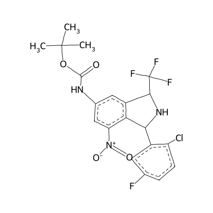 CC(C)(C)OC(=O)Nc1cc2c(c([N+](=O)[O-])c1)C(c1cc(F)ccc1Cl)NC2C(F)(F)F